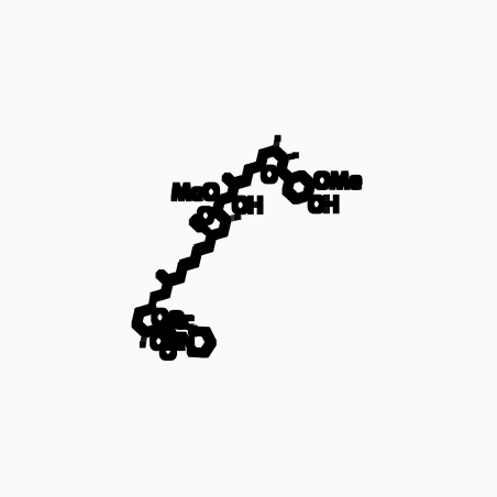 C#C[C@H](/C=C/C=C/C=C(\C)CC[C@@H]1CC[C@@H](C)[C@](O)(C(=O)C(=O)N2CCCCC2C(C)=O)O1)C[C@@H](C)C(=O)[C@H](OC)[C@H](O)/C(C)=C/CC(=O)C[C@H](C)[C@H](C)CC1CC[C@@H](O)[C@H](OC)C1